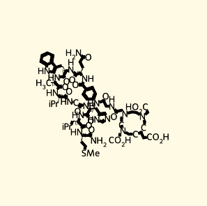 CSCC[C@H](NC(=O)[C@H](CC(C)C)NC(=O)[C@H](Cc1cnc[nH]1)NC(=O)CNC(=O)[C@@H](NC(=O)[C@H](C)NC(=O)[C@H](Cc1c[nH]c2ccccc12)NC(=O)[C@H](CCC(N)=O)NC(=O)c1ccc(NC(=O)CNC(=O)CN2CCN(CC(=O)O)CCC(CC(=O)O)CCN(CC(=O)O)CC2)cc1)C(C)C)C(N)=O